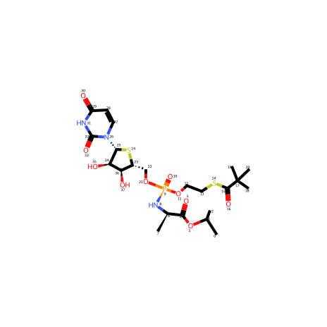 CC(C)OC(=O)[C@@H](C)N[P@@](=O)(OCCSC(=O)C(C)(C)C)OC[C@H]1S[C@@H](n2ccc(=O)[nH]c2=O)[C@H](O)[C@@H]1O